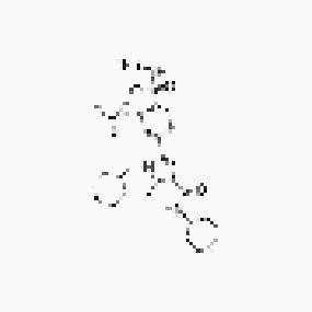 Cc1c(C(=O)NC2CCOCC2)cc(-c2ccc(S(=O)(=O)NC(C)(C)C)c(OC(F)F)c2)n1CC1CCCCC1